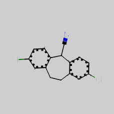 N#CC1c2ccc(Cl)cc2CCc2cc(Cl)ccc21